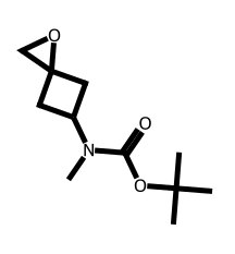 CN(C(=O)OC(C)(C)C)C1CC2(CO2)C1